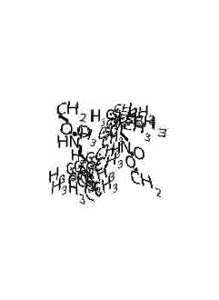 C=CCOC(=O)NCCC[Si](O[Si](C)(C)C)(O[Si](C)(C)C)O[Si](C)(C)C.C=COC(=O)NCCC[Si](O[Si](C)(C)C)(O[Si](C)(C)C)O[Si](C)(C)C